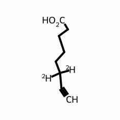 [2H]C([2H])(C#C)CCCCC(=O)O